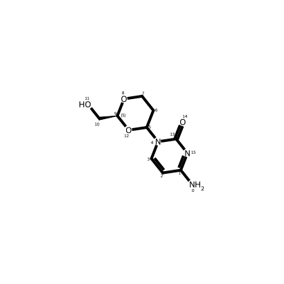 Nc1ccn(C2CCO[C@H](CO)O2)c(=O)n1